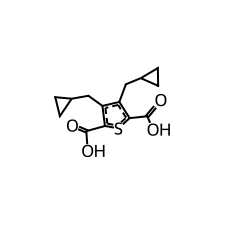 O=C(O)c1sc(C(=O)O)c(CC2CC2)c1CC1CC1